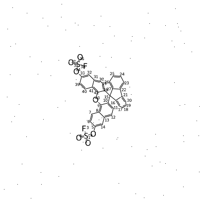 O=S(=O)(F)Oc1ccc2c3c(ccc2c1)C1(c2ccccc2-c2ccccc21)c1ccc2cc(OS(=O)(=O)F)ccc2c1O3